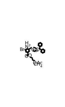 C.CC(=O)OCCCCOC(=O)c1cc(Br)c(N)c(CN2CCOCC2)c1.O=C(c1ccccc1)c1ccccc1